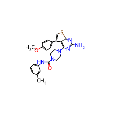 COc1ccc(-c2csc3nc(N)nc(N4CCN(C(=O)Nc5cccc(C)c5)CC4)c23)cc1